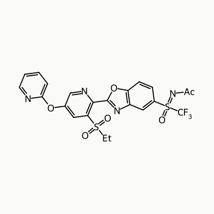 CCS(=O)(=O)c1cc(Oc2ccccn2)cnc1-c1nc2cc(S(=O)(=NC(C)=O)C(F)(F)F)ccc2o1